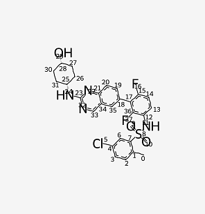 Cc1ccc(Cl)cc1S(=O)(=O)Nc1ccc(F)c(-c2ccc3nc(N[C@H]4CC[C@@H](O)CC4)ncc3c2)c1F